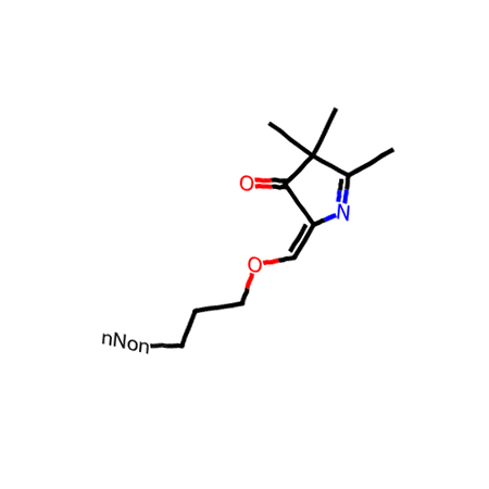 CCCCCCCCCCCCO/C=C1/N=C(C)C(C)(C)C1=O